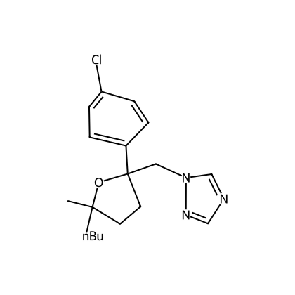 CCCCC1(C)CCC(Cn2cncn2)(c2ccc(Cl)cc2)O1